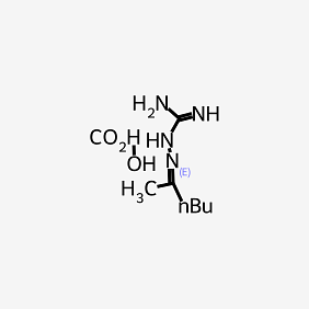 CCCC/C(C)=N/NC(=N)N.O=C(O)O